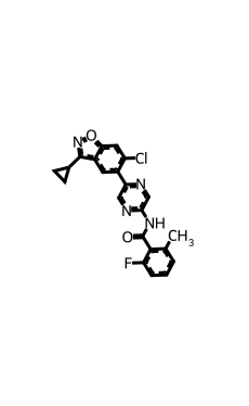 Cc1cccc(F)c1C(=O)Nc1cnc(-c2cc3c(C4CC4)noc3cc2Cl)cn1